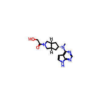 CN(c1ncnc2[nH]ccc12)[C@@H]1C[C@@H]2CN(C(=O)CO)C[C@@H]2C1